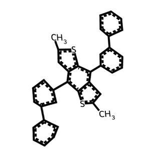 Cc1cc2c(-c3cccc(-c4ccccc4)c3)c3sc(C)cc3c(-c3cccc(-c4ccccc4)c3)c2s1